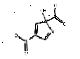 CC1(C(=O)Cl)C=C([N+](=O)[O-])C=N1